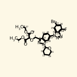 CCOC(=O)C(OCc1nn(C2CCCCO2)c2cc(-n3nnc4c(F)cc(Br)cc43)ccc12)C(=O)OCC